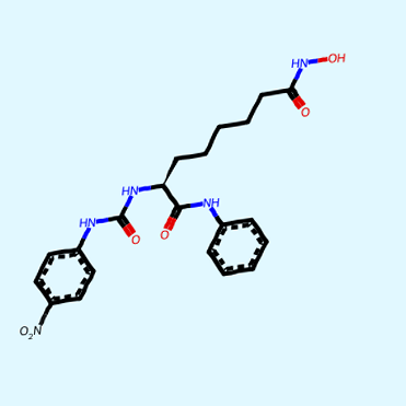 O=C(CCCCC[C@H](NC(=O)Nc1ccc([N+](=O)[O-])cc1)C(=O)Nc1ccccc1)NO